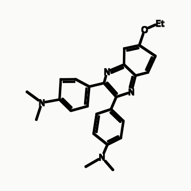 CCOc1ccc2nc(-c3ccc(N(C)C)cc3)c(-c3ccc(N(C)C)cc3)nc2c1